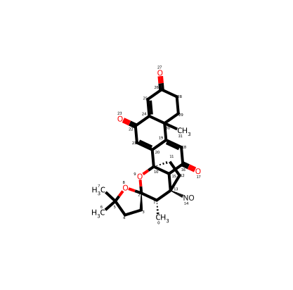 C[C@@H]1[C@@]2(CCC(C)(C)O2)O[C@]23CC[C@@]1(N=O)C2C(=O)C=C1C3=CC(=O)C2=CC(=O)CCC21C